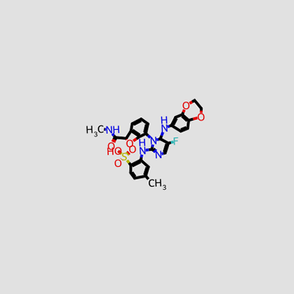 CNC(=O)C1Oc2c1cccc2N1C(Nc2cc(C)ccc2S(=O)(=O)O)=NC=C(F)C1Nc1ccc2c(c1)OCCO2